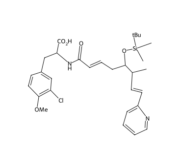 COc1ccc(CC(NC(=O)/C=C/CC(O[Si](C)(C)C(C)(C)C)C(C)/C=C/c2ccccn2)C(=O)O)cc1Cl